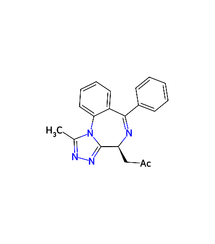 CC(=O)C[C@@H]1N=C(c2ccccc2)c2ccccc2-n2c(C)nnc21